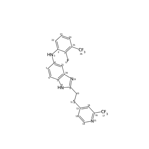 Fc1c(Nc2ccc3[nH]c(CSc4ccnc(C(F)(F)F)c4)nc3c2)cccc1C(F)(F)F